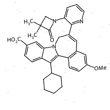 COc1ccc2c(c1)C=C(c1ncccc1N1CC(C)(C)C1=O)Cn1c-2c(C2CCCCC2)c2ccc(C(=O)O)cc21